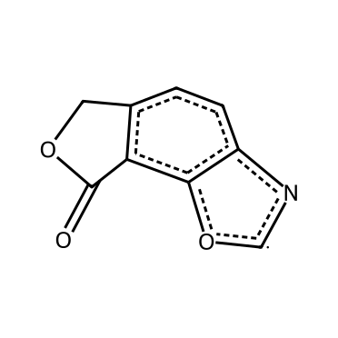 O=C1OCc2ccc3n[c]oc3c21